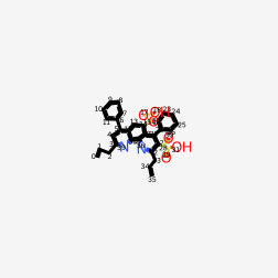 C=CCc1cc(-c2ccccc2)c2cc(S(=O)(=O)O)c3c(-c4ccccc4)c(S(=O)(=O)O)c(CC=C)nc3c2n1